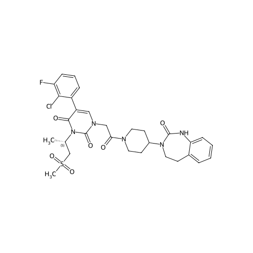 C[C@@H](CS(C)(=O)=O)n1c(=O)c(-c2cccc(F)c2Cl)cn(CC(=O)N2CCC(N3CCc4ccccc4NC3=O)CC2)c1=O